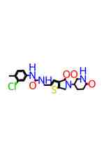 Cc1ccc(NC(=O)NCc2cc3c(s2)CN(C2CCC(=O)NC2=O)C3=O)cc1Cl